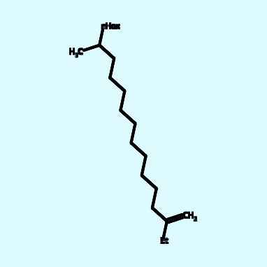 C=C(CC)CCCCCCCCCCC(C)CCCCCC